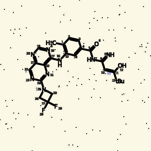 Cc1ccc(C(=O)NC(=N)/C=C(\O)C(C)(C)C)cc1Nc1ncnc2cnc(N3CC(F)(F)C3)nc12